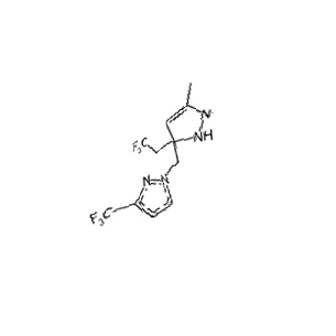 CC1=CC(Cn2ccc(C(F)(F)F)n2)(CC(F)(F)F)N[N]1